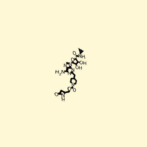 Nc1nc(CC2CCN(C(=O)OCC3CC(=O)N3)CC2)nc2c1ncn2[C@@H]1O[C@H](C(=O)NC2CC2)C(O)C1O